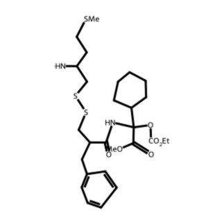 CCOC(=O)OC(NC(=O)C(CSSCC([NH])CCSC)Cc1ccccc1)(C(=O)OC)C1CCCCC1